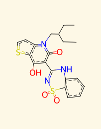 CCC(CC)Cn1c(=O)c(C2=NS(=O)(=O)c3ccccc3N2)c(O)c2sccc21